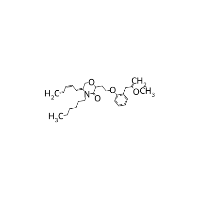 C=C/C=C\C=C1/COC(CCOc2ccccc2CC(=C)OC)C(=O)N1CCCCCC